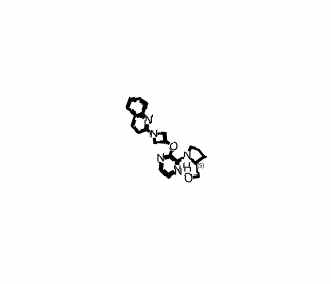 OC[C@@H]1CCCN1c1nccnc1OC1CN(c2ccc3ccccc3n2)C1